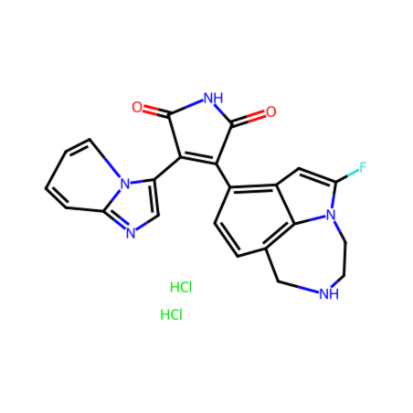 Cl.Cl.O=C1NC(=O)C(c2cnc3ccccn23)=C1c1ccc2c3c1cc(F)n3CCNC2